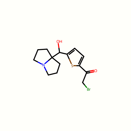 O=C(CBr)c1ccc(C(O)C23CCCN2CCC3)s1